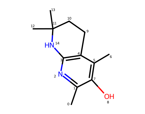 Cc1nc2c(c(C)c1O)CCC(C)(C)N2